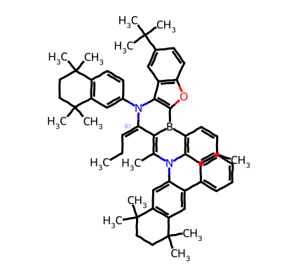 CC/C=C1\C2=C(C)N(c3cc4c(cc3-c3ccccc3)C(C)(C)CCC4(C)C)c3cc(C)ccc3B2c2oc3ccc(C(C)(C)C)cc3c2N1c1ccc2c(c1)C(C)(C)CCC2(C)C